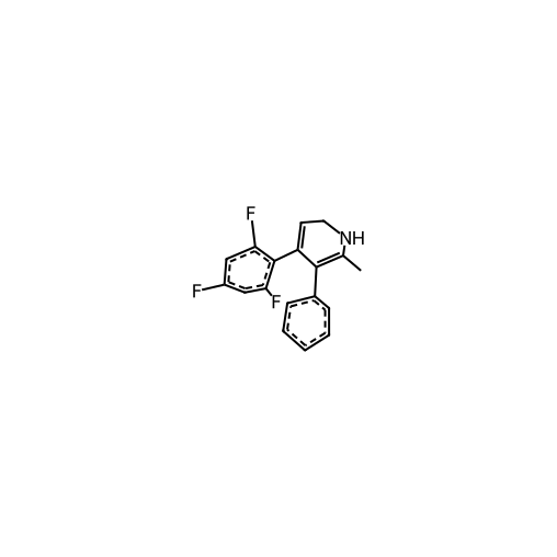 CC1=C(c2ccccc2)C(c2c(F)cc(F)cc2F)=CCN1